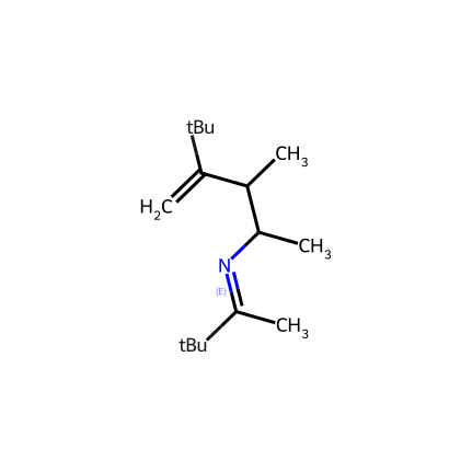 C=C(C(C)C(C)/N=C(\C)C(C)(C)C)C(C)(C)C